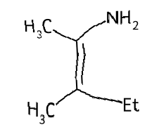 CC/C(C)=C(/C)N